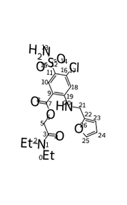 CCN(CC)C(=O)COC(=O)c1cc(S(N)(=O)=O)c(Cl)cc1NCc1ccco1